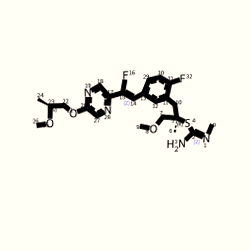 C/N=C(/N)S[C@@](C)(COC)Cc1cc(/C=C(\F)c2cnc(OC[C@H](C)OC)cn2)ccc1F